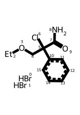 Br.Br.CCOCC(Cl)(C(N)=O)c1ccccc1